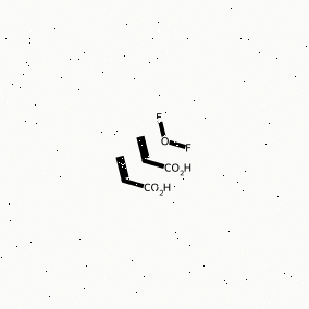 C=CC(=O)O.C=CC(=O)O.FOF